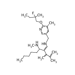 C=C(C)C(=C)/C(=C/NCc1cnc(OCC(C)(F)CC)c(C)c1)C(CCCCC)NC